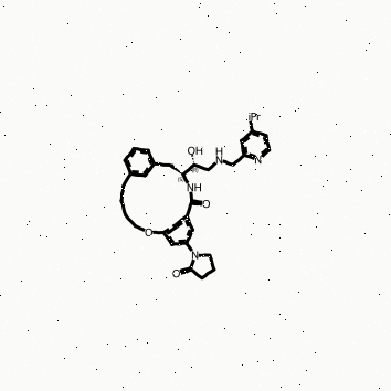 CC(C)c1ccnc(CNC[C@@H](O)[C@@H]2Cc3cccc(c3)CCCCOc3cc(cc(N4CCCC4=O)c3)C(=O)N2)c1